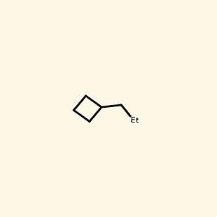 [CH2]CCC1CCC1